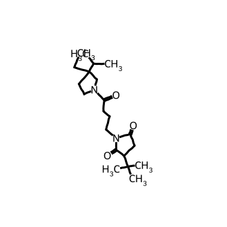 CCC1(C(C)C)CCN(C(=O)CCCN2C(=O)CC(C(C)(C)C)C2=O)C1